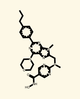 CCCc1ccc(-c2nc(N3CCOCC3)c3nc(CN(C)c4ncc(C(=O)NO)cn4)n(C)c3n2)cc1